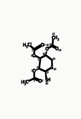 CC(=O)O[C@@H]1[C@@H](OC(C)=O)[C@H](OC(C)=O)CS[C@H]1S